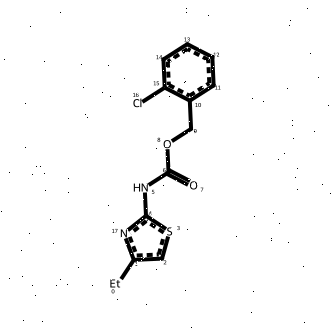 CCc1csc(NC(=O)OCc2ccccc2Cl)n1